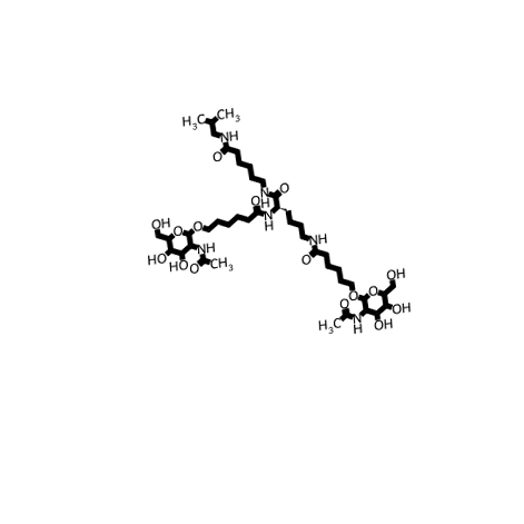 CC(=O)NC1C(OCCCCCC(=O)NCCCC[C@H](NC(=O)CCCCCOC2OC(CO)C(O)C(O)C2NC(C)=O)C(=O)NCCCCCC(=O)NCC(C)C)OC(CO)C(O)C1O